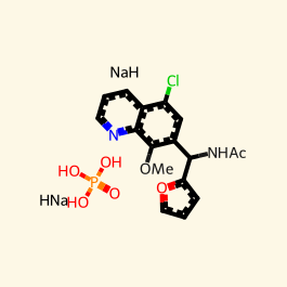 COc1c(C(NC(C)=O)c2ccco2)cc(Cl)c2cccnc12.O=P(O)(O)O.[NaH].[NaH]